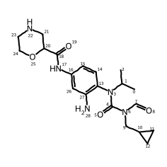 CC(C)N(C(=O)N(C=O)CC1CC1)c1ccc(NC(=O)C2CNCCO2)cc1N